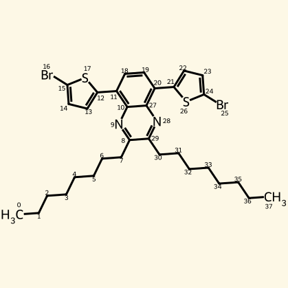 CCCCCCCCc1nc2c(-c3ccc(Br)s3)ccc(-c3ccc(Br)s3)c2nc1CCCCCCCC